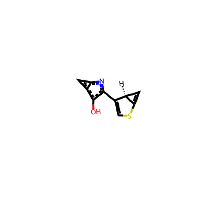 Oc1c2cc-2nc1C1=CSC2=C[C@@H]21